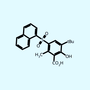 Cc1c(S(=O)(=O)c2cccc3ccccc23)cc(C(C)(C)C)c(O)c1C(=O)O